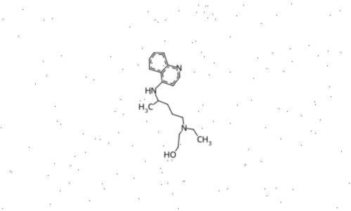 CCN(CCO)CCCC(C)Nc1ccnc2ccccc12